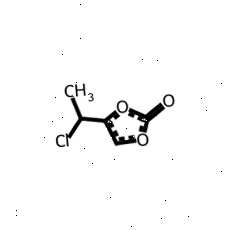 CC(Cl)c1coc(=O)o1